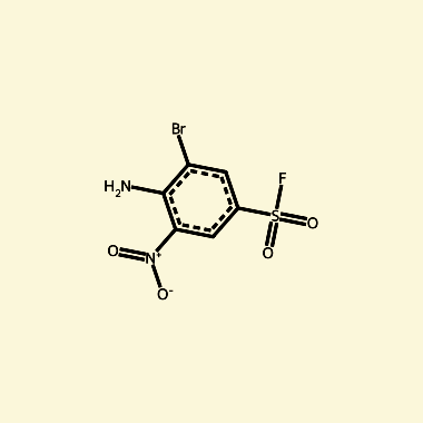 Nc1c(Br)cc(S(=O)(=O)F)cc1[N+](=O)[O-]